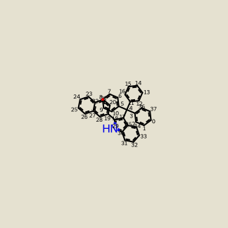 c1ccc(C(c2ccccc2)(c2ccccc2)c2c(-c3ccc4ccccc4c3)[nH]c3ccccc23)cc1